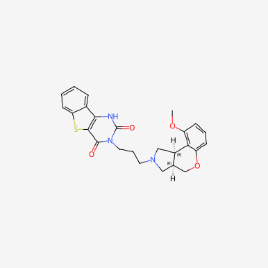 COc1cccc2c1[C@@H]1CN(CCCn3c(=O)[nH]c4c(sc5ccccc54)c3=O)C[C@@H]1CO2